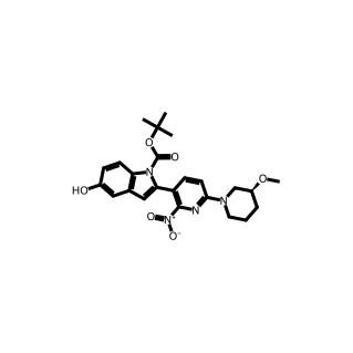 CO[C@H]1CCCN(c2ccc(-c3cc4cc(O)ccc4n3C(=O)OC(C)(C)C)c([N+](=O)[O-])n2)C1